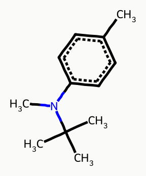 Cc1ccc(N(C)C(C)(C)C)cc1